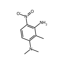 Cc1c(N(C)C)ccc([N+](=O)[O-])c1N